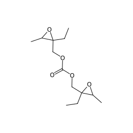 CCC1(COC(=O)OCC2(CC)OC2C)OC1C